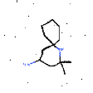 CC1(C)CC(N)CC2(CCCCC2)N1